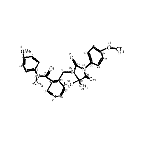 COc1ccc(N(C)C(=O)c2cnccc2CN2C(=O)N(c3ccc(OC(F)(F)F)cc3)C(=O)C2(C)C)cc1